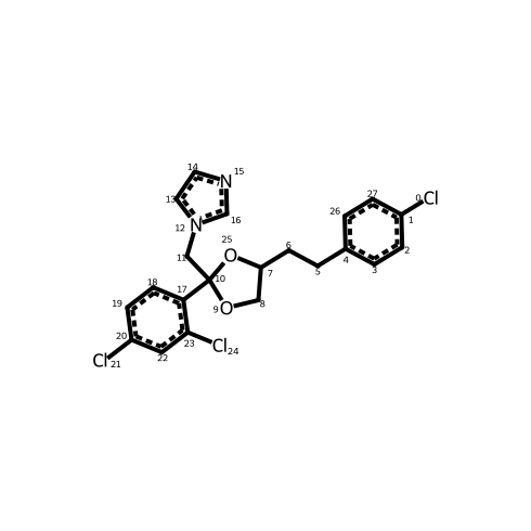 Clc1ccc(CCC2COC(Cn3ccnc3)(c3ccc(Cl)cc3Cl)O2)cc1